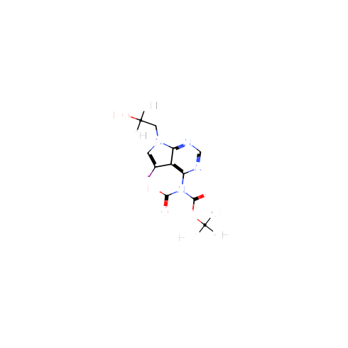 CC(C)(O)Cn1cc(I)c2c(N(C(=O)O)C(=O)OC(C)(C)C)ncnc21